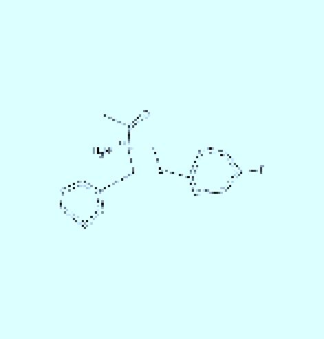 CC(=O)[C@@](N)(CSc1ccc(F)cc1)Cc1ccccc1